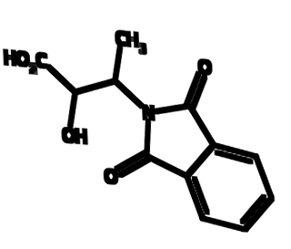 CC(C(O)C(=O)O)N1C(=O)c2ccccc2C1=O